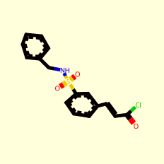 O=C(Cl)C=Cc1cccc(S(=O)(=O)NCc2ccccc2)c1